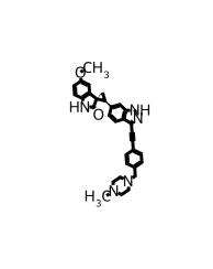 COc1ccc2c(c1)[C@]1(C[C@H]1c1ccc3c(C#Cc4ccc(CN5CCN(C)CC5)cc4)n[nH]c3c1)C(=O)N2